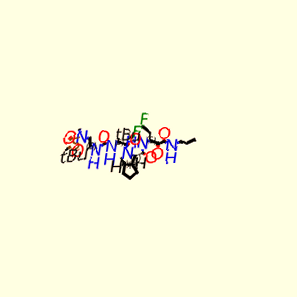 C=CCNC(=O)C(=O)[C@H](CC(F)F)NC(=O)[C@@H]1[C@H]2CCC[C@H]2CN1C(=O)[C@@H](NC(=O)N[C@H](CN(C)S(C)(=O)=O)C(C)(C)C)C(C)(C)C